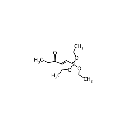 CCO[Si](C=CC(=O)CC)(OCC)OCC